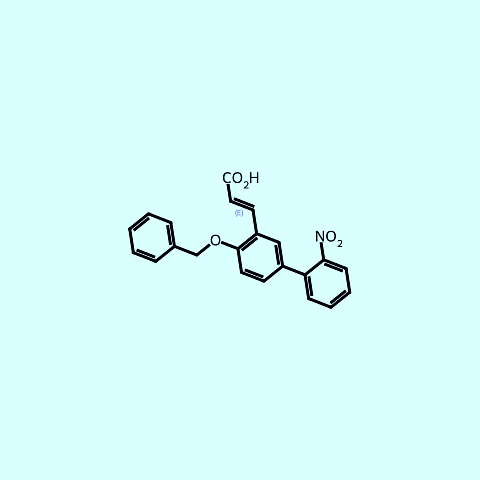 O=C(O)/C=C/c1cc(-c2ccccc2[N+](=O)[O-])ccc1OCc1ccccc1